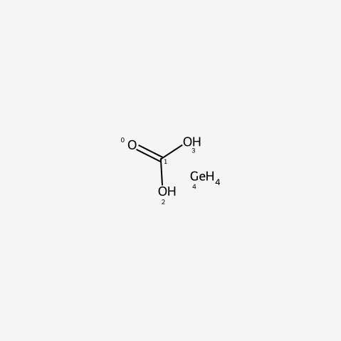 O=C(O)O.[GeH4]